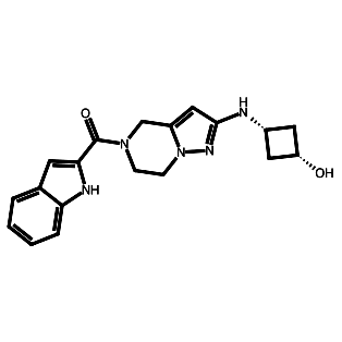 O=C(c1cc2ccccc2[nH]1)N1CCn2nc(N[C@H]3C[C@@H](O)C3)cc2C1